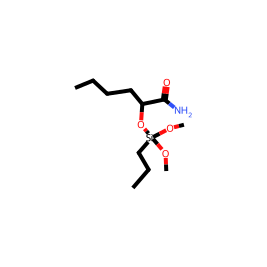 CCCCC(O[Si](CCC)(OC)OC)C(N)=O